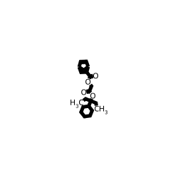 CCC(CC)(OC(=O)COC(=O)C1CC2C=CC1C2)C1CCCCC1